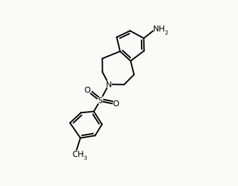 Cc1ccc(S(=O)(=O)N2CCc3ccc(N)cc3CC2)cc1